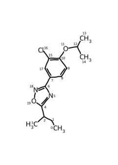 CCC(C)c1nc(-c2ccc(OC(C)C)c(Cl)c2)no1